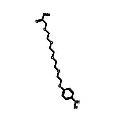 CSC(=O)COCCOCCOCCOCCOc1ccc(NC(C)C)cc1